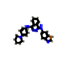 c1ccc2c(Nc3ccc4ncsc4c3)nnc(Nc3ccc(N4CCCCC4)cc3)c2c1